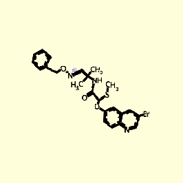 CSC(Oc1ccc2ncc(Br)cc2c1)C(=O)NC(C)(C)/C=N/OCc1ccccc1